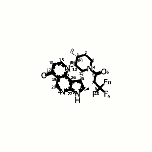 C[C@@H]1CCN(C(=O)CC(F)(F)F)C[C@@H]1n1ccc(=O)c2cnc3[nH]ccc3c21